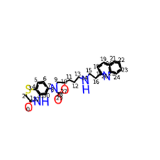 O=C1CSc2ccc(N3C[C@@H](CCCNCCc4ccc5ccccc5n4)OC3=O)cc2N1